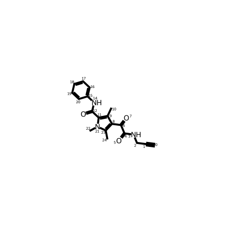 C#CCNC(=O)C(=O)c1c(C)c(C(=O)Nc2ccccc2)n(C)c1C